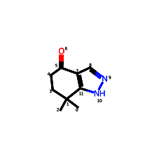 CC1(C)CCC(=O)c2cn[nH]c21